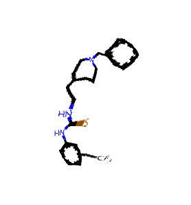 FC(F)(F)c1cccc(NC(=S)NCCC2CCN(Cc3ccccc3)CC2)c1